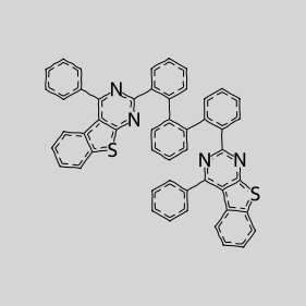 c1ccc(-c2nc(-c3ccccc3-c3ccccc3-c3ccccc3-c3nc(-c4ccccc4)c4c(n3)sc3ccccc34)nc3sc4ccccc4c23)cc1